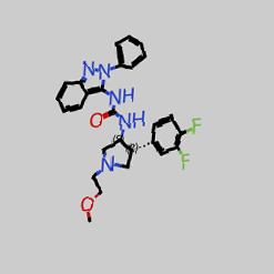 COCCN1C[C@@H](NC(=O)Nc2c3ccccc3nn2-c2ccccc2)[C@H](c2ccc(F)c(F)c2)C1